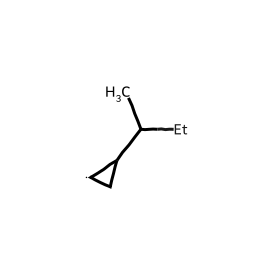 CCC(C)C1[CH]C1